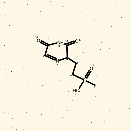 CP(=O)(O)CCC1N=CC(=O)NC1=O